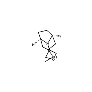 CNC1C[C@H]2CC[C@@H](C1)N2C1COC1